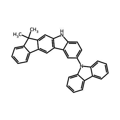 CC1(C)c2ccccc2-c2cc3c(cc21)[nH]c1ccc(-n2c4ccccc4c4ccccc42)cc13